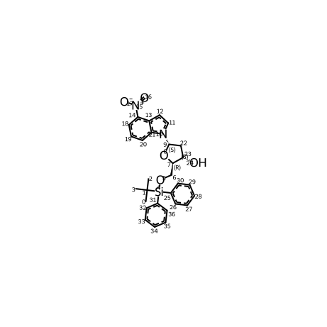 CC(C)(C)[Si](OC[C@H]1O[C@H](n2ccc3c([N+](=O)[O-])cccc32)C[C@@H]1O)(c1ccccc1)c1ccccc1